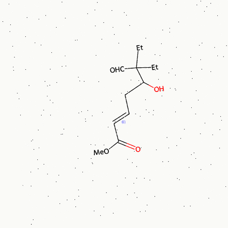 CCC(C=O)(CC)C(O)C/C=C/C(=O)OC